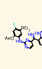 COc1cc(F)c([N+](=O)[O-])cc1Nc1nccc(C(=N)c2ccccc2NC(C)C)n1